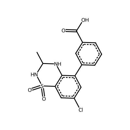 CC1Nc2c(-c3cccc(C(=O)O)c3)cc(Cl)cc2S(=O)(=O)N1